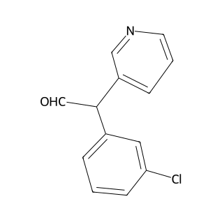 O=CC(c1cccnc1)c1cccc(Cl)c1